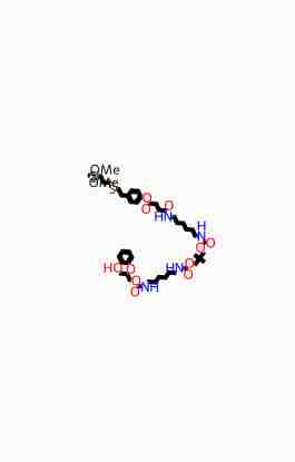 CO[Si](C)(CCCSCCc1ccc(OC(=O)CCC(=O)NCCCCCCNC(=O)OCC(C)(C)COC(=O)NCCCCCCNC(=O)OCC(CO)Oc2ccccc2)cc1)OC